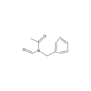 CC(=O)N(C=O)Cc1ccccc1